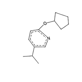 CC(C)c1ccc(OC2CCCC2)nc1